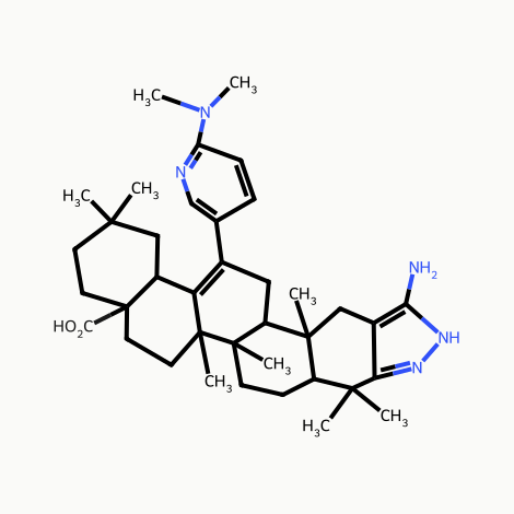 CN(C)c1ccc(C2=C3C4CC(C)(C)CCC4(C(=O)O)CCC3(C)C3(C)CCC4C(C)(C)c5n[nH]c(N)c5CC4(C)C3C2)cn1